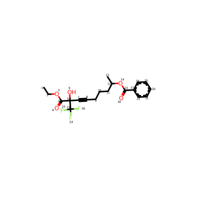 CCOC(=O)C(O)(C#CCCCC(C)OC(=O)c1ccccc1)C(F)(F)F